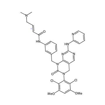 COc1cc(OC)c(Cl)c(N2Cc3cnc(Nc4ccccn4)nc3N(Cc3cccc(NC(=O)/C=C/CN(C)C)c3)C2=O)c1Cl